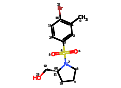 Cc1cc(S(=O)(=O)N2CCC[C@@H]2CO)ccc1Br